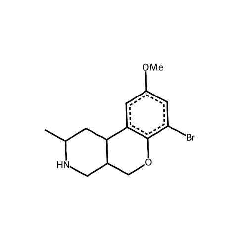 COc1cc(Br)c2c(c1)C1CC(C)NCC1CO2